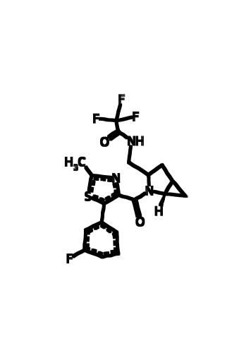 Cc1nc(C(=O)N2C(CNC(=O)C(F)(F)F)CC3C[C@@H]32)c(-c2cccc(F)c2)s1